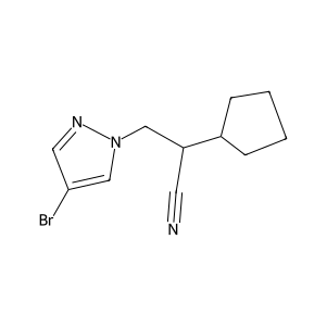 N#CC(Cn1cc(Br)cn1)C1CCCC1